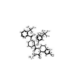 CCC[C@H]1N(C(=O)c2ncccc2C(F)(F)F)CCC[C@]1(Oc1csc(C(F)(F)F)c1)C(=O)N1CCc2sc(Cl)cc2C1C(=O)NC